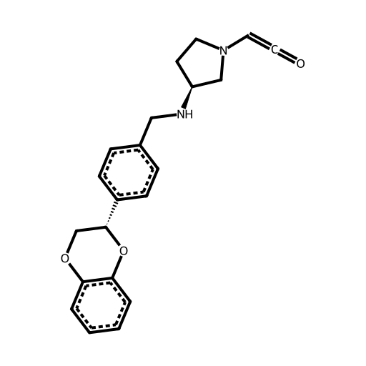 O=C=CN1CC[C@H](NCc2ccc([C@H]3COc4ccccc4O3)cc2)C1